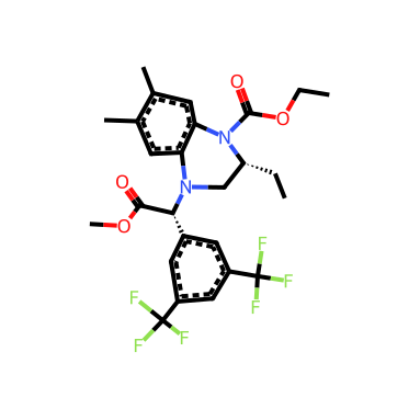 CCOC(=O)N1c2cc(C)c(C)cc2N([C@@H](C(=O)OC)c2cc(C(F)(F)F)cc(C(F)(F)F)c2)C[C@H]1CC